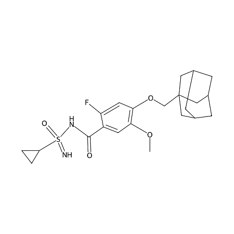 COc1cc(C(=O)NS(=N)(=O)C2CC2)c(F)cc1OCC12CC3CC(CC(C3)C1)C2